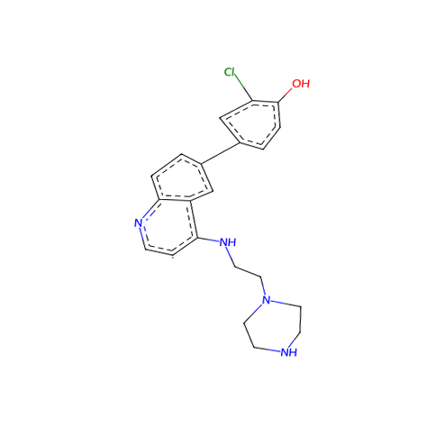 Oc1ccc(-c2ccc3nc[c]c(NCCN4CCNCC4)c3c2)cc1Cl